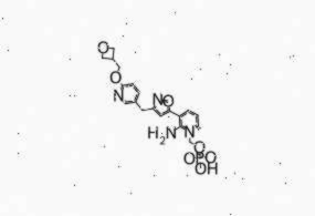 Nc1c(-c2cc(Cc3ccc(OCC4COC4)nc3)no2)ccc[n+]1COP(=O)([O-])O